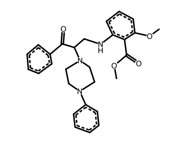 COC(=O)c1c(NCC(C(=O)c2ccccc2)N2CCN(c3ccccc3)CC2)cccc1OC